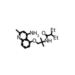 CCC(CC)C(=O)NC(C)(C)COc1cccc2nc(C)cc(N)c12